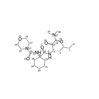 CCCC[C@H](NC(=O)C1(NC(=O)N2CCOCC2)CCCCC1)C(=O)C(=O)N(C)C